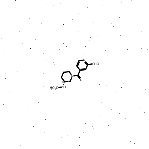 O=Cc1cc(C(=O)N2CCC[C@@H](NC(=O)O)C2)ccn1